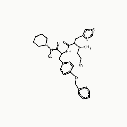 CCN(C(=O)C(Cc1ccc(OCc2ccccc2)cc1)NC(=O)C(Cc1cscn1)N(C)CCC(C)C)N1CCCCC1